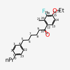 CCCc1ccc(CCCCCC(=O)c2ccc(OCC)c(F)c2C)cc1